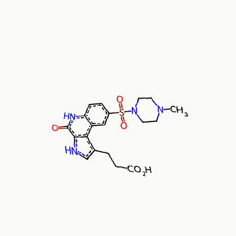 CN1CCN(S(=O)(=O)c2ccc3[nH]c(=O)c4[nH]cc(CCC(=O)O)c4c3c2)CC1